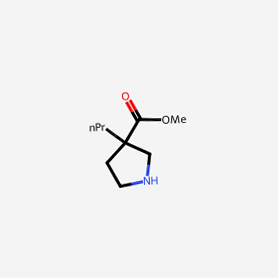 CCCC1(C(=O)OC)CCNC1